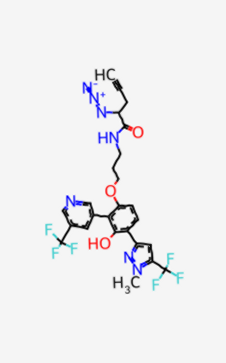 C#CCC(N=[N+]=[N-])C(=O)NCCCOc1ccc(-c2cc(C(F)(F)F)n(C)n2)c(O)c1-c1cncc(C(F)(F)F)c1